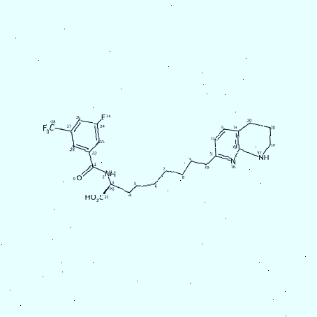 O=C(N[C@@H](CCCCCCCc1ccc2c(n1)NCCC2)C(=O)O)c1cc(F)cc(C(F)(F)F)c1